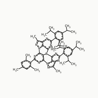 Cc1cc(C)c(-c2nc3c4c(n2)-n2nc(C)c5nc(-c6c(C(C)C)cc(C(C)C)cc6C(C)C)nc(c52)B4c2nc(-c4c(C(C)C)cc(C(C)C)cc4C(C)C)nc4c(C)nn-3c24)c(C)c1